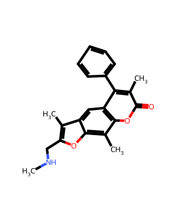 CNCc1oc2c(C)c3oc(=O)c(C)c(-c4ccccc4)c3cc2c1C